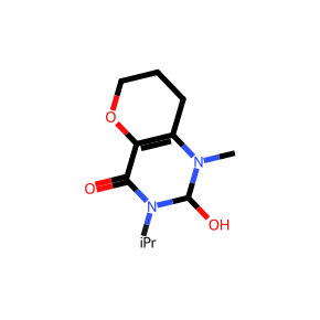 CC(C)N1C(=O)C2=C(CCCO2)N(C)C1O